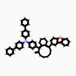 C=C1CCCCC/C(c2ccc3oc4ccccc4c3c2)=C2/CCCC/C2=C/1c1ccc(N(c2ccc(-c3ccccc3)cc2)c2ccc(-c3ccccc3)cc2)cc1